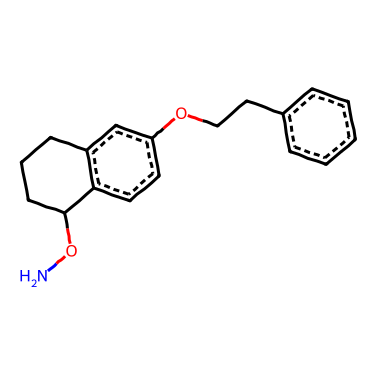 NOC1CCCc2cc(OCCc3ccccc3)ccc21